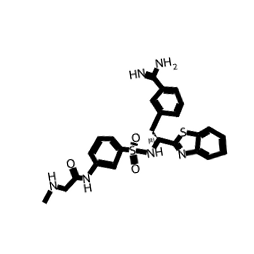 CNCC(=O)Nc1cccc(S(=O)(=O)N[C@H](Cc2cccc(C(=N)N)c2)c2nc3ccccc3s2)c1